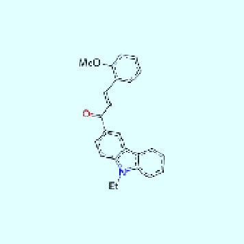 CCn1c2ccccc2c2cc(C(=O)C=Cc3ccccc3OC)ccc21